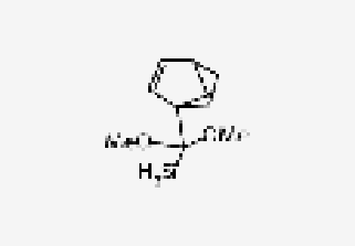 COC([SiH3])(OC)C12C=CC(CC1)C2